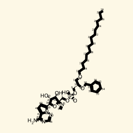 C=N[C@]1(COP(=O)(O)OC[C@H](COCCCCCCCCCCCCCCCC)OCc2ccccc2)O[C@@H](c2ccc3c(N)ncnn23)[C@H](O)[C@@H]1O